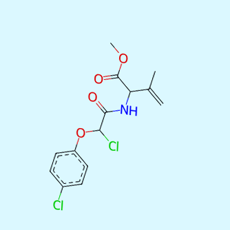 C=C(C)C(NC(=O)C(Cl)Oc1ccc(Cl)cc1)C(=O)OC